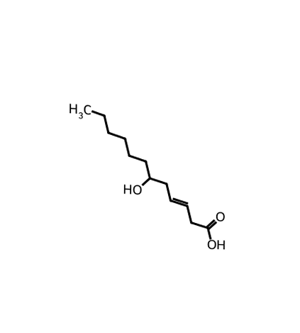 CCCCCCC(O)CC=CCC(=O)O